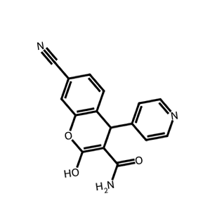 N#Cc1ccc2c(c1)OC(O)=C(C(N)=O)C2c1ccncc1